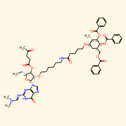 CC[C@H]1O[C@@H](n2cnc3c(=O)[nH]c(/N=C/N(C)C)nc32)[C@@H](OCCCCCCNC(=O)CCCCO[C@@H]2C[C@H](COC(=O)c3ccccc3)[C@H](OC(=O)c3ccccc3)[C@H](OC(=O)c3ccccc3)[C@H]2C)C1OC(=O)CCC(C)=O